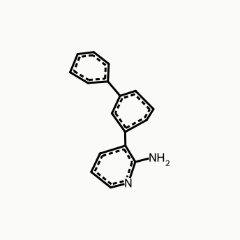 Nc1ncccc1-c1cccc(-c2ccccc2)c1